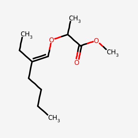 CCCCC(=COC(C)C(=O)OC)CC